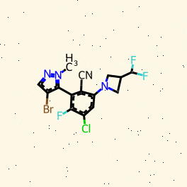 Cn1ncc(Br)c1-c1c(F)c(Cl)cc(N2CC(C(F)F)C2)c1C#N